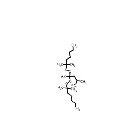 CCCCCC(C)(C)OOC(C)(CC(C)C)OOC(C)(C)CCCCC